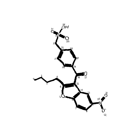 CCCCc1oc2ccc([N+](=O)[O-])cc2c1C(=O)c1ccc(CS(=O)(=O)O)cc1